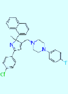 CC1(c2cccc3ccccc23)N=C(c2ccc(Cl)cc2)C=C1CN1CCN(c2ccc(F)cc2)CC1